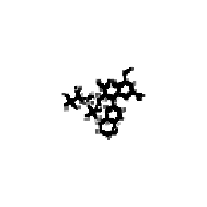 CCc1cc(Br)cc2c(-c3ccc4c(c3)CCCO4)c([C@@H](COC(=O)C(C)(C)C)OC(C)(C)C)c(C)nc12